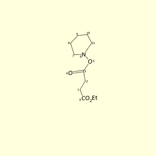 CCOC(=O)CCC(=O)ON1CCCCC1